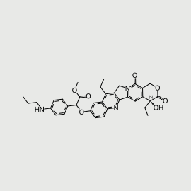 CCCNc1ccc(C(Oc2ccc3nc4c(c(CC)c3c2)Cn2c-4cc3c(c2=O)COC(=O)[C@]3(O)CC)C(=O)OC)cc1